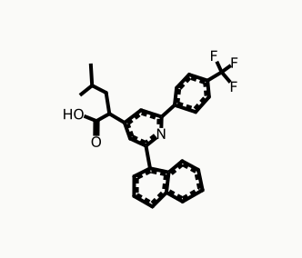 CC(C)CC(C(=O)O)c1cc(-c2ccc(C(F)(F)F)cc2)nc(-c2cccc3ccccc23)c1